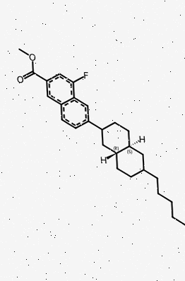 CCCCCCC1CC[C@@H]2CC(c3ccc4cc(C(=O)OC)cc(F)c4c3)CC[C@H]2C1